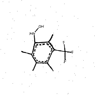 Cc1c(C)c(NO)c(C)c(C(F)(F)F)c1C